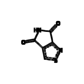 O=C1NC(=O)c2nscc21